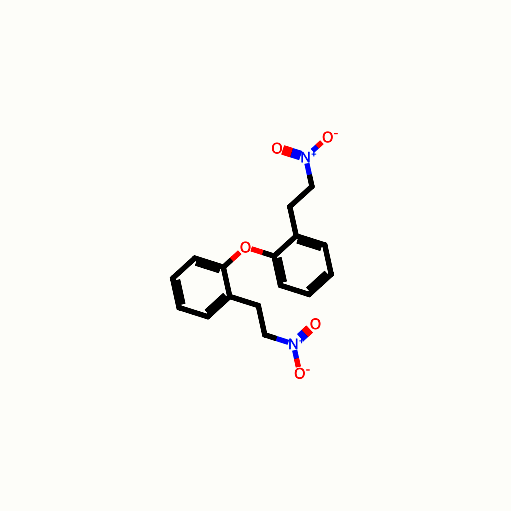 O=[N+]([O-])CCc1ccccc1Oc1ccccc1CC[N+](=O)[O-]